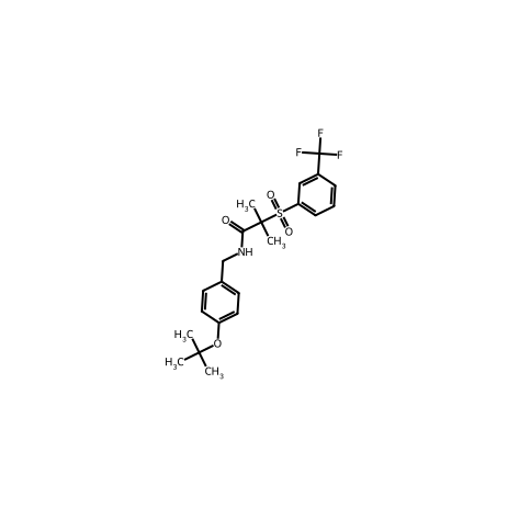 CC(C)(C)Oc1ccc(CNC(=O)C(C)(C)S(=O)(=O)c2cccc(C(F)(F)F)c2)cc1